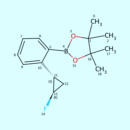 CC1(C)OB(c2ccccc2[C@@H]2C[C@H]2F)OC1(C)C